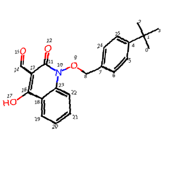 CC(C)(C)c1ccc(COn2c(=O)c(C=O)c(O)c3ccccc32)cc1